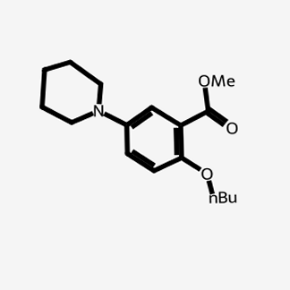 CCCCOc1ccc(N2CCCCC2)cc1C(=O)OC